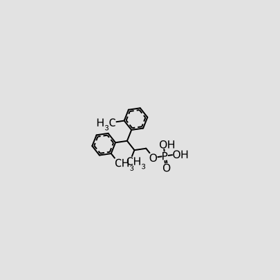 Cc1ccccc1C(c1ccccc1C)C(C)COP(=O)(O)O